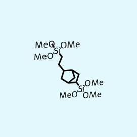 CO[Si](CCC1CC2CC1CC2[Si](OC)(OC)OC)(OC)OC